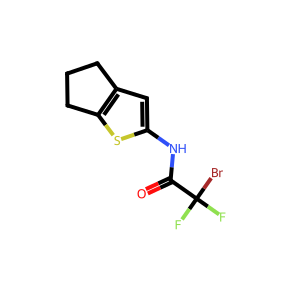 O=C(Nc1cc2c(s1)CCC2)C(F)(F)Br